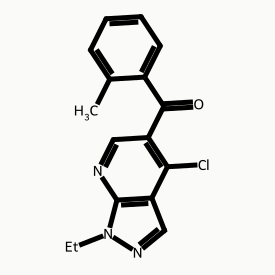 CCn1ncc2c(Cl)c(C(=O)c3ccccc3C)cnc21